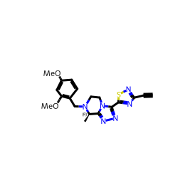 C#Cc1nsc(-c2nnc3n2CCN(Cc2ccc(OC)cc2OC)[C@@H]3C)n1